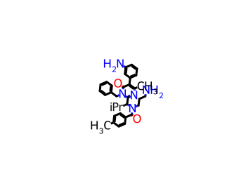 Cc1ccc(C(=O)N(CCCN)C(c2nc(C)c(-c3cccc(N)c3)c(=O)n2Cc2ccccc2)C(C)C)cc1